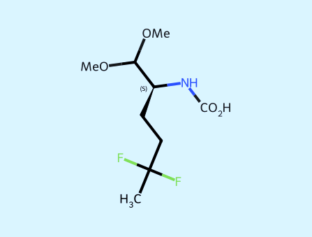 COC(OC)[C@H](CCC(C)(F)F)NC(=O)O